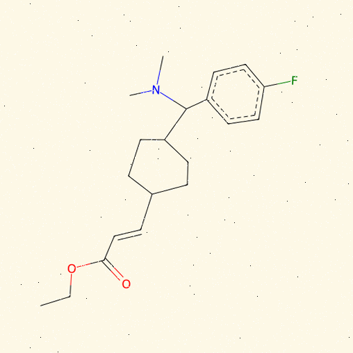 CCOC(=O)C=CC1CCC(C(c2ccc(F)cc2)N(C)C)CC1